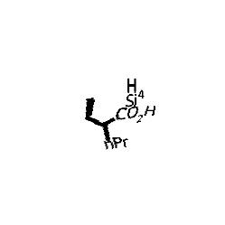 C=CC(CCC)C(=O)O.[SiH4]